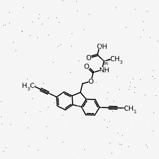 CC#Cc1ccc2c(c1)C(COC(=O)N[C@H](C)C(=O)O)c1cc(C#CC)ccc1-2